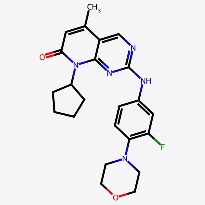 Cc1cc(=O)n(C2CCCC2)c2nc(Nc3ccc(N4CCOCC4)c(F)c3)ncc12